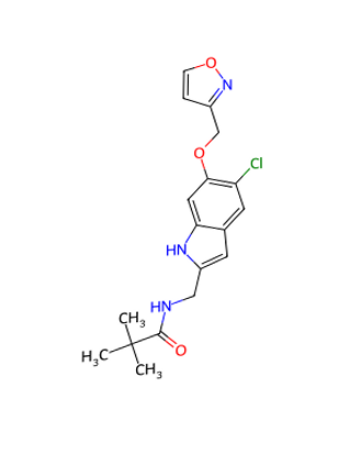 CC(C)(C)C(=O)NCc1cc2cc(Cl)c(OCc3ccon3)cc2[nH]1